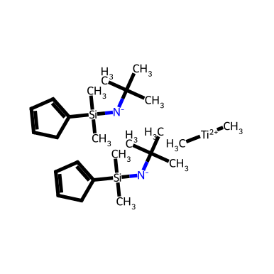 CC(C)(C)[N-][Si](C)(C)C1=CC=CC1.CC(C)(C)[N-][Si](C)(C)C1=CC=CC1.[CH3][Ti+2][CH3]